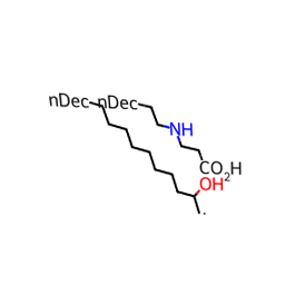 CCCCCCCCCCCCNCCC(=O)O.[CH2]C(O)CCCCCCCCCCCCCCCCCC